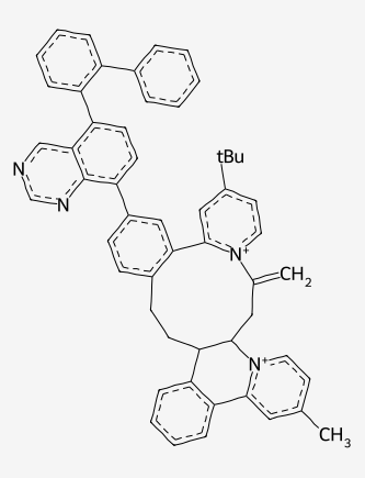 C=C1CC2C(CCc3ccc(-c4ccc(-c5ccccc5-c5ccccc5)c5cncnc45)cc3-c3cc(C(C)(C)C)cc[n+]31)c1ccccc1-c1cc(C)cc[n+]12